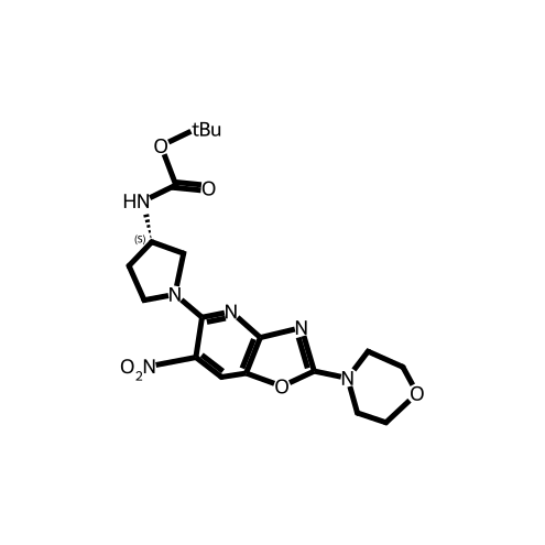 CC(C)(C)OC(=O)N[C@H]1CCN(c2nc3nc(N4CCOCC4)oc3cc2[N+](=O)[O-])C1